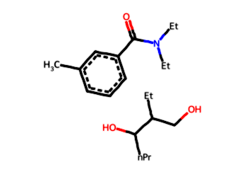 CCCC(O)C(CC)CO.CCN(CC)C(=O)c1cccc(C)c1